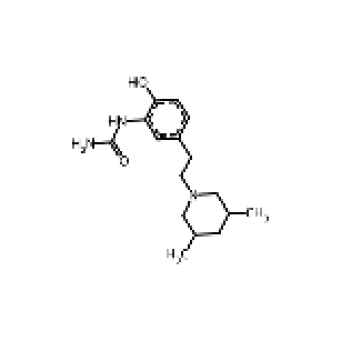 CC1CC(C)CN(CCc2ccc(O)c(NC(N)=O)c2)C1